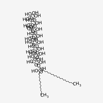 CCCCCCCCCCCCC/C=C/[C@@H](O)[C@H](CO[C@@H]1OC(CO)[C@@H](O[C@@H]2OC(CO)[C@H](O[C@@H]3OC(CO)[C@H](O)[C@H](O[C@H]4OC(CO)[C@H](O)[C@H](O[C@H]5OC(CO)[C@H](O)[C@H](O[C@H]6OC(CO)[C@H](O)[C@H](O[C@H]7OC(CO)[C@H](O)[C@H](O[C@H]8OC(CO)[C@H](O)[C@H](O)C8O)C7O)C6O)C5O)C4O)C3O)[C@H](O)C2O)[C@H](O)C1O)NC(=O)CCCCCCCCCCCCCCCCCCCCC